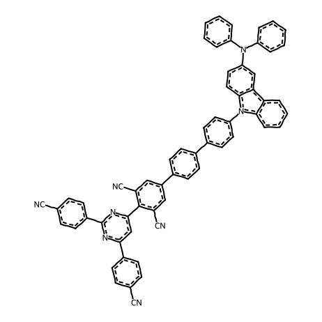 N#Cc1ccc(-c2cc(-c3c(C#N)cc(-c4ccc(-c5ccc(-n6c7ccccc7c7cc(N(c8ccccc8)c8ccccc8)ccc76)cc5)cc4)cc3C#N)nc(-c3ccc(C#N)cc3)n2)cc1